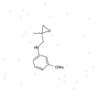 COc1cccc(NCC2(C)CO2)c1